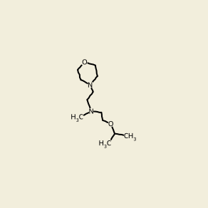 CC(C)OCCN(C)CCN1CCOCC1